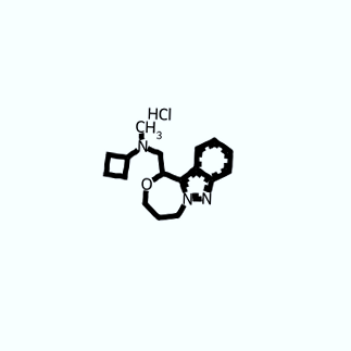 CN(CC1OCCCn2nc3ccccc3c21)C1CCC1.Cl